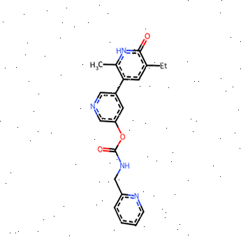 CCc1cc(-c2cncc(OC(=O)NCc3ccccn3)c2)c(C)[nH]c1=O